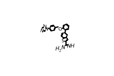 N=C(N)c1cc2cc(-c3ccccc3OCc3ccc(-n4cncn4)cc3)ccc2s1